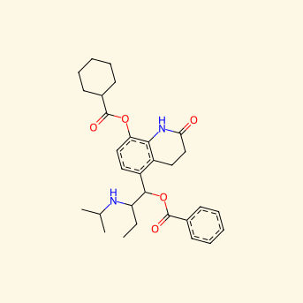 CCC(NC(C)C)C(OC(=O)c1ccccc1)c1ccc(OC(=O)C2CCCCC2)c2c1CCC(=O)N2